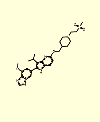 COc1cc(-c2[nH]c3ccc(OCC4CCN(CCS(C)(=O)=O)CC4)nc3c2C(C)C)cn2ncnc12